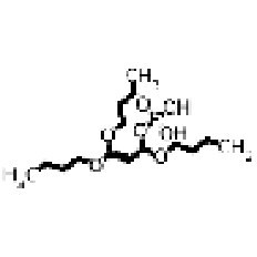 CCCCOC(=CC(OCCCC)OP(=O)(O)O)OCCCC